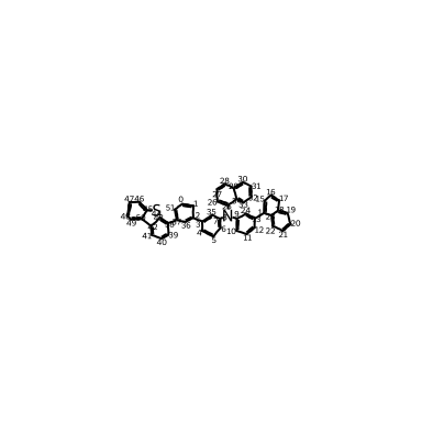 c1cc(-c2cccc(N(c3cccc(-c4cccc5ccccc45)c3)c3cccc4ccccc34)c2)cc(-c2cccc3c2sc2ccccc23)c1